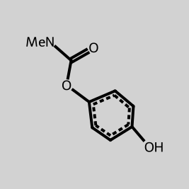 CNC(=O)Oc1ccc(O)cc1